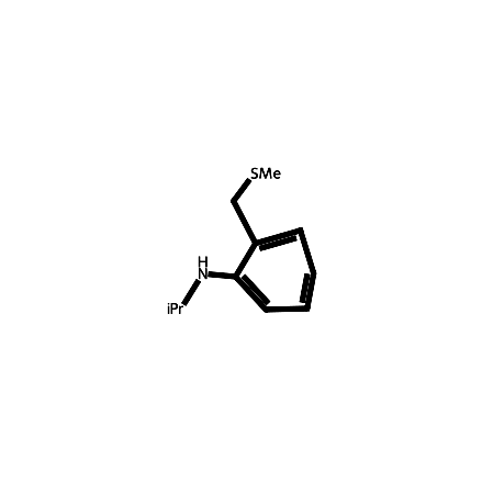 CSCc1ccccc1NC(C)C